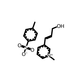 C[n+]1cccc(/C=C/CO)c1.Cc1ccc(S(=O)(=O)[O-])cc1